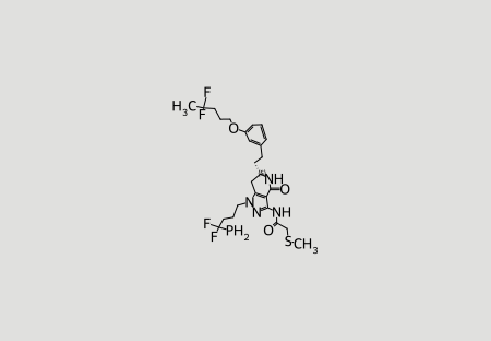 CSCC(=O)Nc1nn(CCCC(F)(F)P)c2c1C(=O)N[C@@H](CCc1cccc(OCCCC(C)(F)F)c1)C2